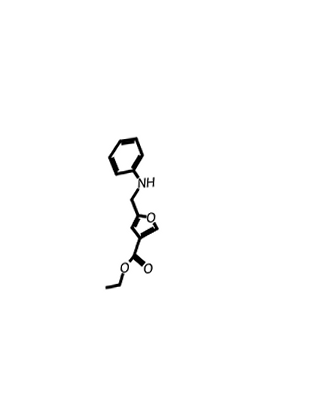 CCOC(=O)c1coc(CNc2ccccc2)c1